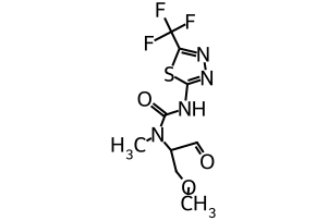 COCC(C=O)N(C)C(=O)Nc1nnc(C(F)(F)F)s1